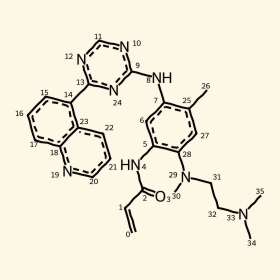 C=CC(=O)Nc1cc(Nc2ncnc(-c3cccc4ncccc34)n2)c(C)cc1N(C)CCN(C)C